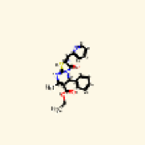 CCOC(=O)C1=C(C)N=c2s/c(=C/c3ccccn3)c(=O)n2C1c1ccccc1